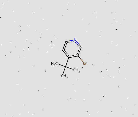 CC(C)(C)c1ccncc1Br